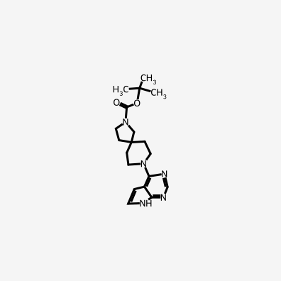 CC(C)(C)OC(=O)N1CCC2(CCN(c3ncnc4[nH]ccc34)CC2)C1